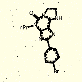 CCCn1c2nc(-c3ccc(Br)cc3)nc-2c2n(c1=O)CCN2